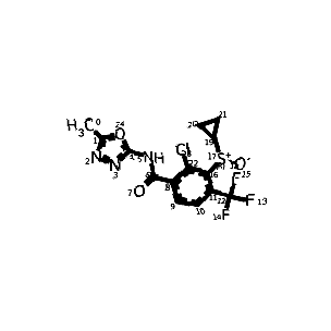 Cc1nnc(NC(=O)c2ccc(C(F)(F)F)c([S@@+]([O-])C3CC3)c2Cl)o1